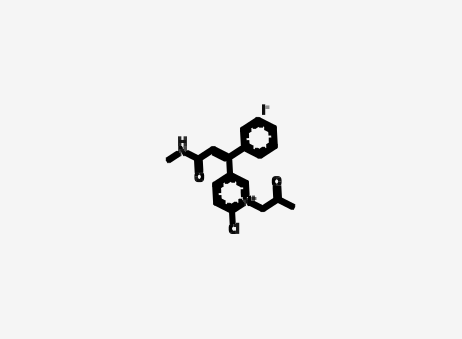 CNC(=O)C=C(c1ccccc1)c1ccc(Cl)[n+](CC(C)=O)c1.[I-]